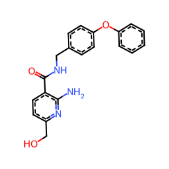 Nc1nc(CO)ccc1C(=O)NCc1ccc(Oc2ccccc2)cc1